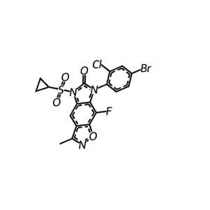 Cc1noc2c(F)c3c(cc12)n(S(=O)(=O)C1CC1)c(=O)n3-c1ccc(Br)cc1Cl